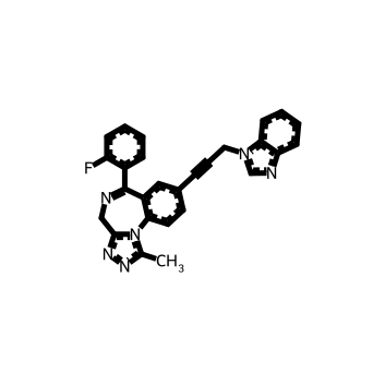 Cc1nnc2n1-c1ccc(C#CCn3cnc4ccccc43)cc1C(c1ccccc1F)=NC2